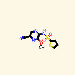 COc1nc(C#N)cnc1NS(=O)(=O)c1cccs1